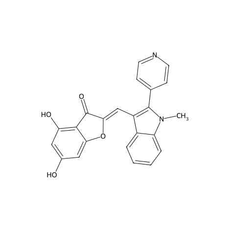 Cn1c(-c2ccncc2)c(C=C2Oc3cc(O)cc(O)c3C2=O)c2ccccc21